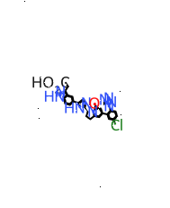 O=C(O)Cc1n[nH]c2ccc(-c3cnc([C@@H]4CCc5cc(-c6cc(Cl)ccc6-n6cnnn6)cc(=O)n54)[nH]3)cc12